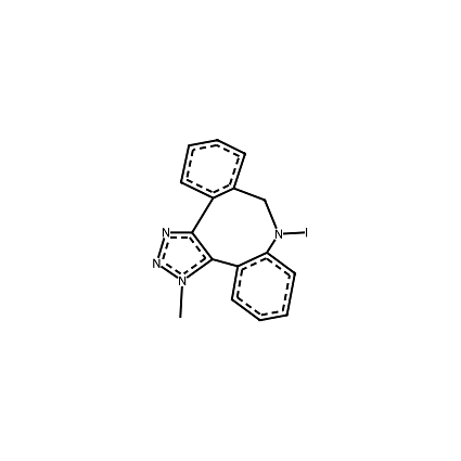 Cn1nnc2c1-c1ccccc1N(I)Cc1ccccc1-2